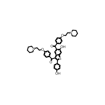 O=C(c1ccc(OCCN2CCCCC2)cc1)c1cc2c(C(=O)c3ccc(OCCN4CCCCC4)cc3)c(-c3ccc(O)cc3)sc2cc1O